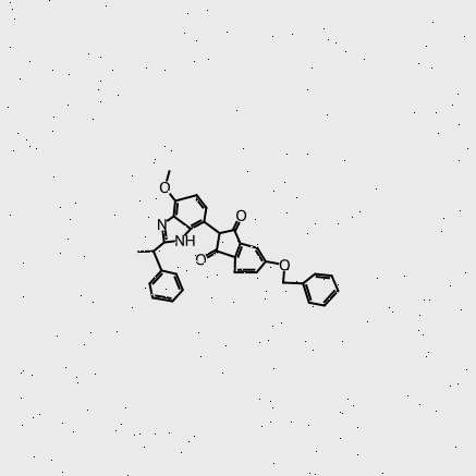 COc1ccc(C2C(=O)c3ccc(OCc4ccccc4)cc3C2=O)c2[nH]c(C(C)c3ccccc3)nc12